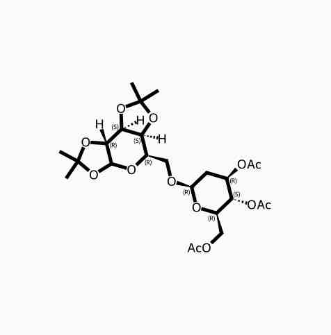 CC(=O)OC[C@H]1O[C@@H](OC[C@H]2OC3OC(C)(C)O[C@@H]3[C@H]3OC(C)(C)O[C@H]32)C[C@@H](OC(C)=O)[C@@H]1OC(C)=O